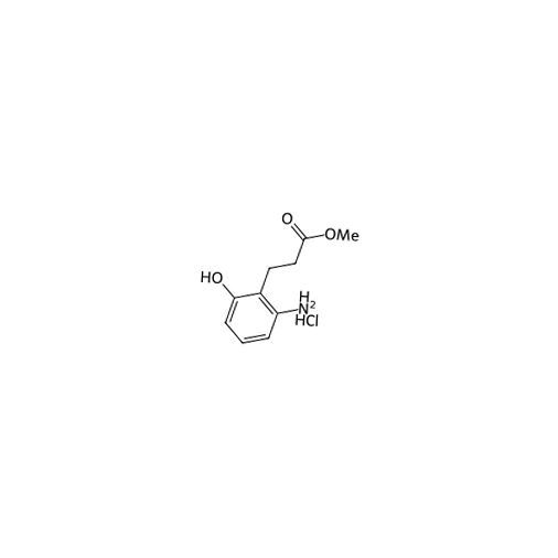 COC(=O)CCc1c(N)cccc1O.Cl